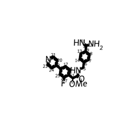 CO[C@H](C(=O)NCc1ccc(C(=N)N)cc1)c1ccc(-c2ccncc2)cc1F